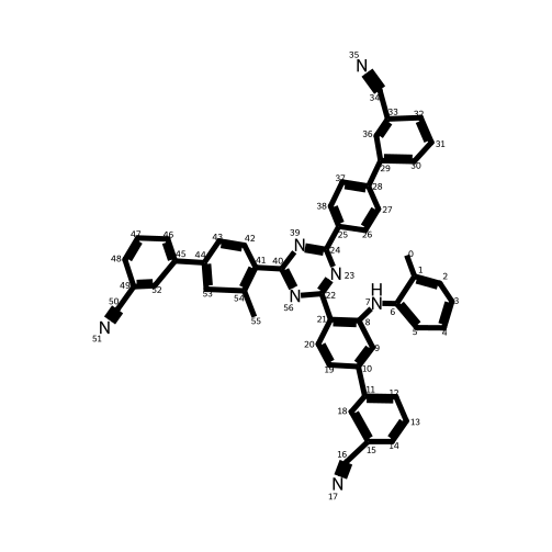 Cc1ccccc1Nc1cc(-c2cccc(C#N)c2)ccc1-c1nc(-c2ccc(-c3cccc(C#N)c3)cc2)nc(-c2ccc(-c3cccc(C#N)c3)cc2C)n1